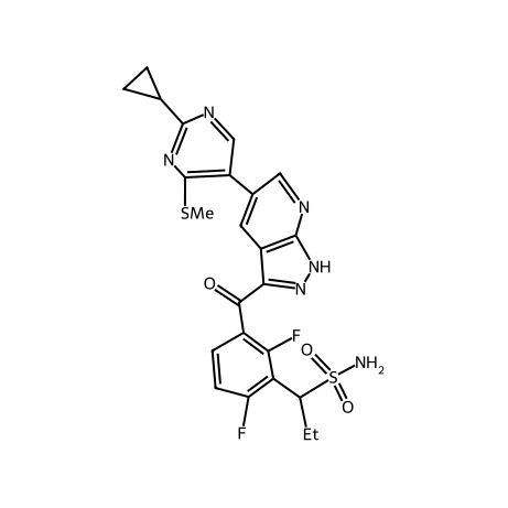 CCC(c1c(F)ccc(C(=O)c2n[nH]c3ncc(-c4cnc(C5CC5)nc4SC)cc23)c1F)S(N)(=O)=O